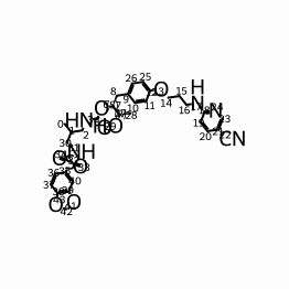 CC(CNC(=O)O[C@@H](Cc1ccc(OCCCNc2ccc(C#N)cn2)cc1)[C@@H](C)O)CNS(=O)(=O)c1ccc2c(c1)OCO2